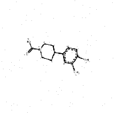 Cc1cc(C2CCN(C(=O)O)CC2)ccc1N